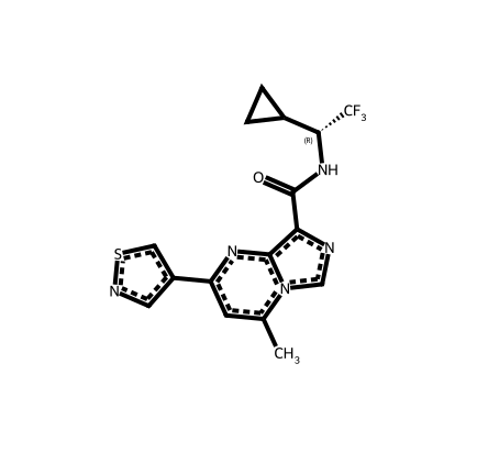 Cc1cc(-c2cnsc2)nc2c(C(=O)N[C@H](C3CC3)C(F)(F)F)ncn12